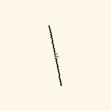 CCCCCCCCCCCCCCCCCCCCCCNONCCCCCCCCCCCCCCCCCCCCCC